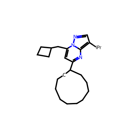 CC(C)c1cnn2c(CC3CCC3)cc(C3CCCCCCCCCC3)nc12